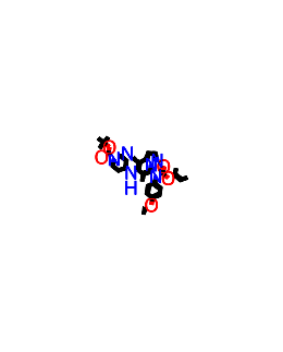 C/C=C(\C)OC(=O)N(c1ccc(OCC)cc1)c1c(C)c(NC2CCN(C(=O)OC(C)(C)C)CC2)c(C#N)c2ccnn12